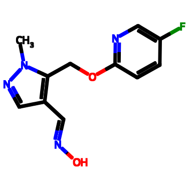 Cn1ncc(C=NO)c1COc1ccc(F)cn1